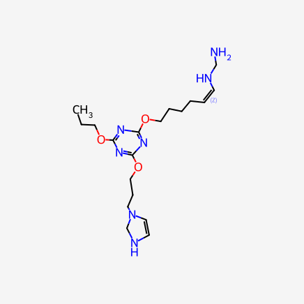 CCCOc1nc(OCCCC/C=C\NCN)nc(OCCCN2C=CNC2)n1